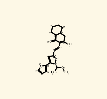 COC(C)n1nc(N=NC2=C(O)CC3CCCCC3C2=O)cc1-c1ccco1